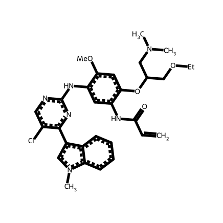 C=CC(=O)Nc1cc(Nc2ncc(Cl)c(-c3cn(C)c4ccccc34)n2)c(OC)cc1OC(COCC)CN(C)C